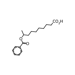 CC(CCCCCCCC(=O)O)OC(=O)c1ccccc1